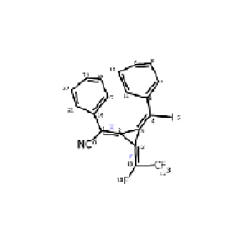 N#C/C(=C1/C(=C(I)c2ccccc2)/C1=C(/F)C(F)(F)F)c1ccccc1